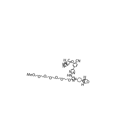 COCCOCCOCCOCCOCCOCCCOc1nn(C2CCC(N3[C@@H]4CC[C@H]3COC4)CC2)cc1Nc1ncc(-c2ccc(C#N)c(O[C@@H](C)Cn3cnnn3)c2)cn1